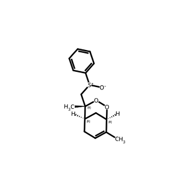 CC1=CC[C@@H]2C[C@H]1OO[C@@]2(C)C[S+]([O-])c1ccccc1